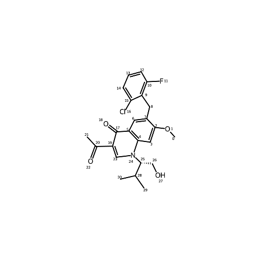 COc1cc2c(cc1Cc1c(F)cccc1Cl)c(=O)c(C(C)=O)cn2[C@H](CO)C(C)C